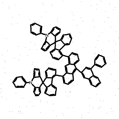 c1ccc(-c2cc(-c3c4cccc(-c5cccc6c5-c5ccccc5C65c6ccccc6N(c6ccccc6)c6ccccc65)c4cc4c(-c5cccc6c5-c5ccccc5C65c6ccccc6N(c6ccccc6)c6ccccc65)cccc34)cc3ccccc23)cc1